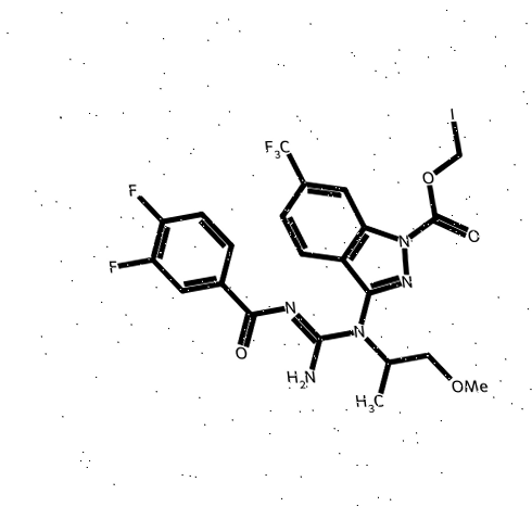 COCC(C)N(C(N)=NC(=O)c1ccc(F)c(F)c1)c1nn(C(=O)OCI)c2cc(C(F)(F)F)ccc12